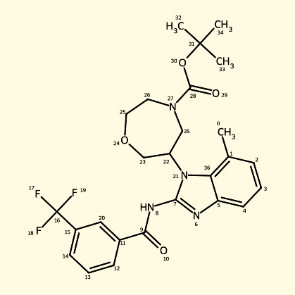 Cc1cccc2nc(NC(=O)c3cccc(C(F)(F)F)c3)n(C3COCCN(C(=O)OC(C)(C)C)C3)c12